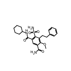 COc1c(C(N)=O)cc(C(=O)NC2CCCCC2)c(S(N)(=O)=O)c1CCc1ccccc1